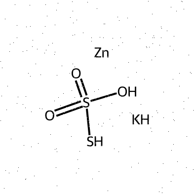 O=S(=O)(O)S.[KH].[Zn]